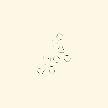 CC(C)(C)N(c1ccc(-c2ccccc2-c2ccc(N(c3ccccc3)C(C)(C)S)cc2)cc1)c1cc2ccccc2c2ccccc12